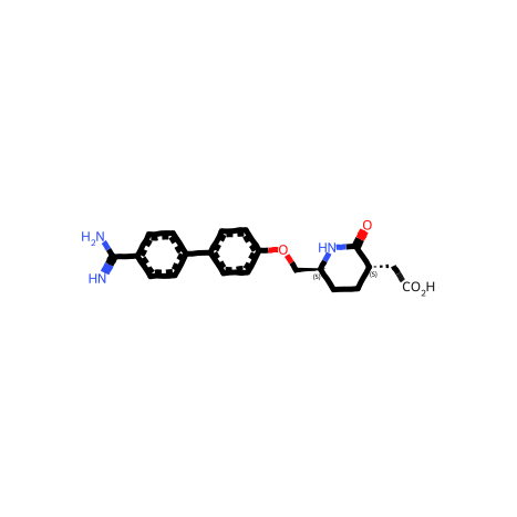 N=C(N)c1ccc(-c2ccc(OC[C@@H]3CC[C@@H](CC(=O)O)C(=O)N3)cc2)cc1